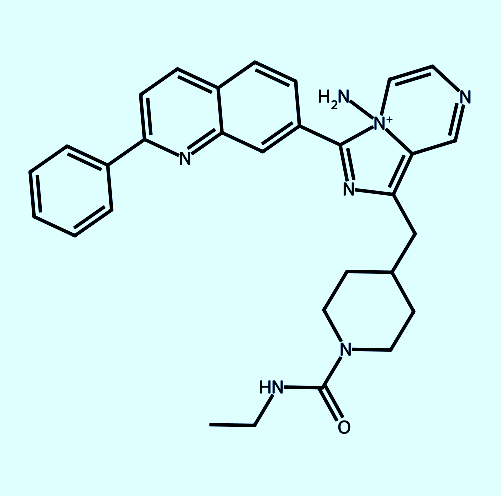 CCNC(=O)N1CCC(CC2=C3C=NC=C[N+]3(N)C(c3ccc4ccc(-c5ccccc5)nc4c3)=N2)CC1